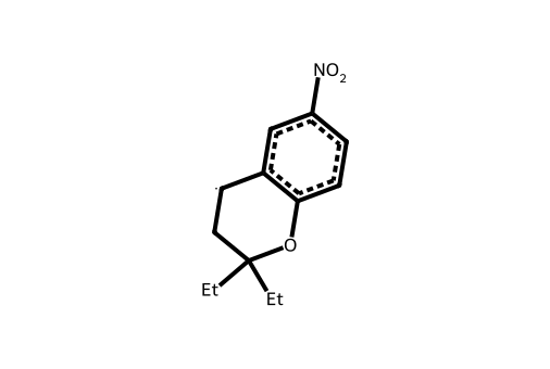 CCC1(CC)C[CH]c2cc([N+](=O)[O-])ccc2O1